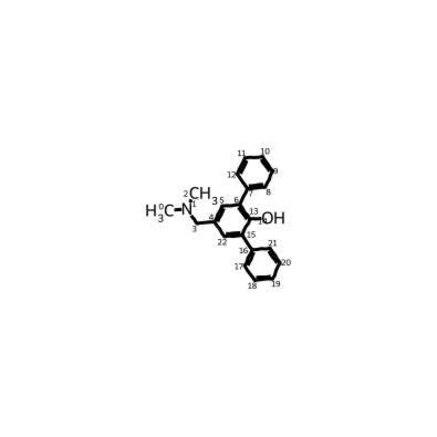 CN(C)Cc1cc(-c2ccccc2)c(O)c(-c2ccccc2)c1